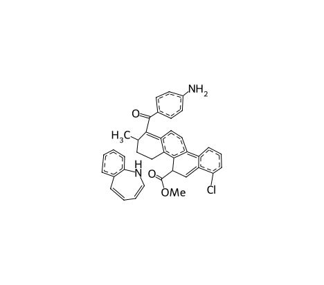 C1=CNc2ccccc2C=C1.COC(=O)C1C=c2c(Cl)cccc2=c2ccc3c(c21)CCC(C)C=3C(=O)c1ccc(N)cc1